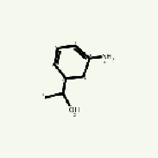 CC(O)C1C=CC=C(N)C1